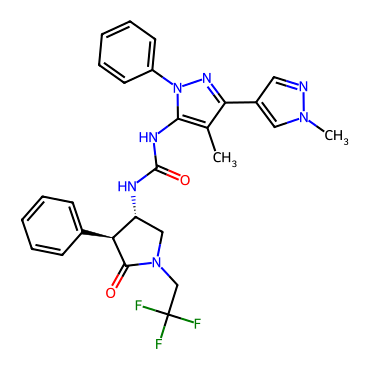 Cc1c(-c2cnn(C)c2)nn(-c2ccccc2)c1NC(=O)N[C@@H]1CN(CC(F)(F)F)C(=O)[C@H]1c1ccccc1